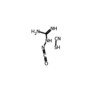 N#CS.N=C(N)NN=C=O